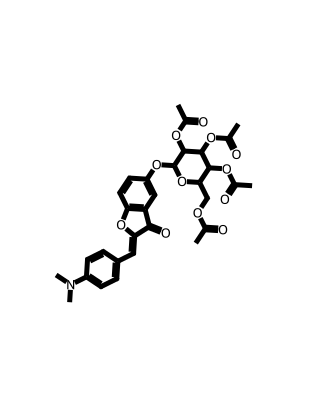 CC(=O)OCC1OC(Oc2ccc3c(c2)C(=O)/C(=C/c2ccc(N(C)C)cc2)O3)C(OC(C)=O)C(OC(C)=O)C1OC(C)=O